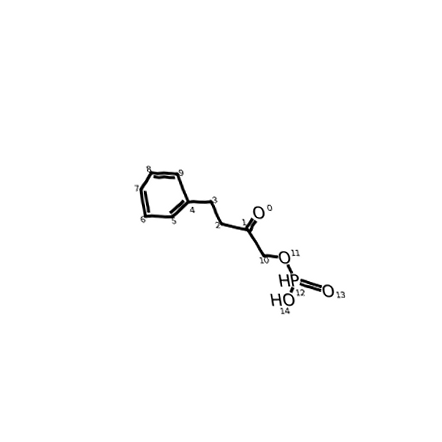 O=C(CCc1ccccc1)CO[PH](=O)O